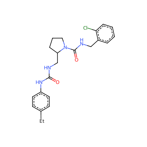 CCc1ccc(NC(=O)NCC2CCCN2C(=O)NCc2ccccc2Cl)cc1